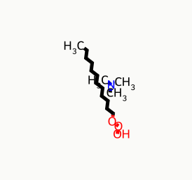 CCCCCCCCCCCCOOO.CN(C)C